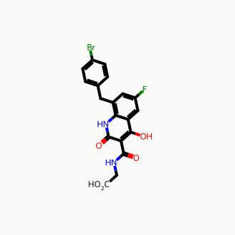 O=C(O)CNC(=O)c1c(O)c2cc(F)cc(Cc3ccc(Br)cc3)c2[nH]c1=O